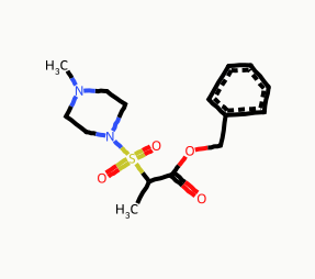 CC(C(=O)OCc1ccccc1)S(=O)(=O)N1CCN(C)CC1